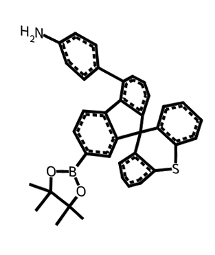 CC1(C)OB(c2ccc3c(c2)C2(c4ccccc4Sc4ccccc42)c2cccc(-c4ccc(N)cc4)c2-3)OC1(C)C